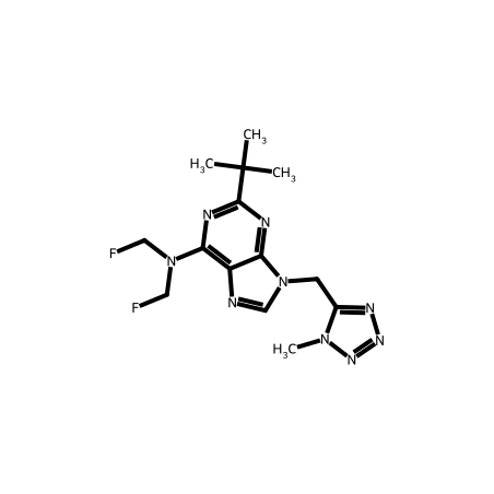 Cn1nnnc1Cn1cnc2c(N(CF)CF)nc(C(C)(C)C)nc21